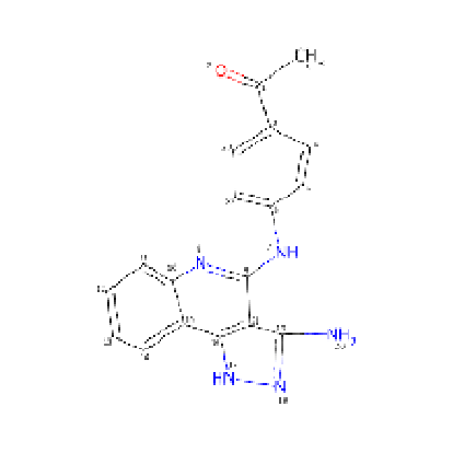 CC(=O)c1ccc(Nc2nc3ccccc3c3[nH]nc(N)c23)cc1